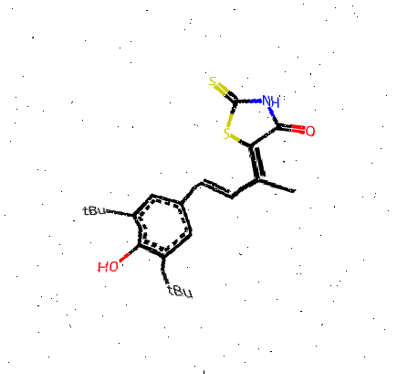 CC(/C=C/c1cc(C(C)(C)C)c(O)c(C(C)(C)C)c1)=C1SC(=S)NC1=O